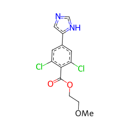 COCCOC(=O)c1c(Cl)cc(-c2cnc[nH]2)cc1Cl